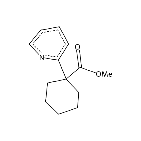 COC(=O)C1(c2ccccn2)CCCCC1